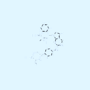 CC(=O)N1CCN(c2ccc(Nc3ncc4ccn(Cc5ccccc5N(C)S(C)(=O)=O)c4n3)cc2)CC1C